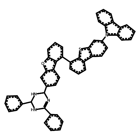 c1ccc(C2=NC(c3ccc4c(c3)oc3cccc(-c5cccc6c5sc5cc(-n7c8ccccc8c8ccccc87)ccc56)c34)NC(c3ccccc3)N2)cc1